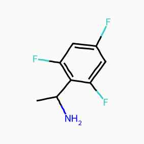 CC(N)c1c(F)cc(F)cc1F